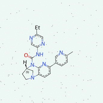 CCc1cnc(NC(=O)N2c3nc(-c4ccc(C)nc4)ccc3N3CC[C@H]2C3)cn1